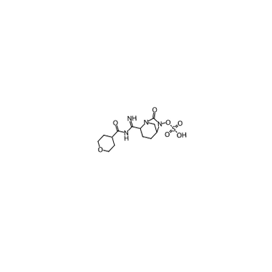 N=C(NC(=O)C1CCOCC1)C1CCC2CN1C(=O)N2OS(=O)(=O)O